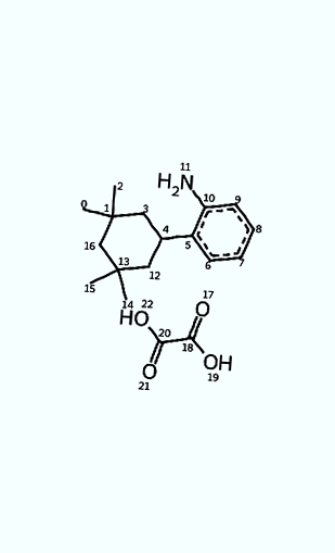 CC1(C)CC(c2ccccc2N)CC(C)(C)C1.O=C(O)C(=O)O